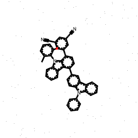 Cc1cccc(C)c1-n1c2ccccc2c2c(-c3ccc4c(c3)c3ccccc3n4-c3ccccc3)ccc(-c3cc(C#N)cc(C#N)c3)c21